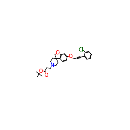 CC(C)(C)OC(=O)CCN1CCC2(CC1)COc1cc(OCC#Cc3ccccc3Cl)ccc12